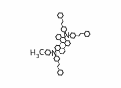 Cc1ccc(N(c2ccc(/C=C/c3ccccc3)cc2)c2ccc3c4c2CC=CC4c2cccc4c(N(c5ccc(/C=C/c6ccccc6)cc5)c5ccc(/C=C/c6ccccc6)cc5)c5ccccc5c-3c24)cc1